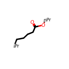 CCCOC(=O)CCCCC(C)C